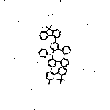 CC1C=CC(c2ccc3c(c2)c2ccccc2c2ccccc2c2cc(-c4cccc5c4-c4ccccc4C5(C)C)ccc2n3-c2ccccc2)=C(c2ccccc2C(C)(C)C)C1